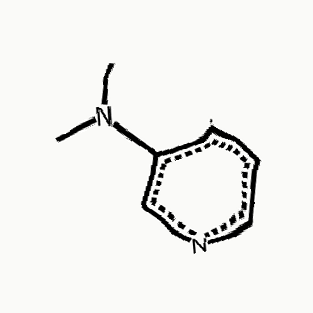 CN(C)c1[c]ccnc1